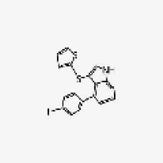 Fc1ccc(-c2cccc3[nH]cc(Sc4cccs4)c23)cc1